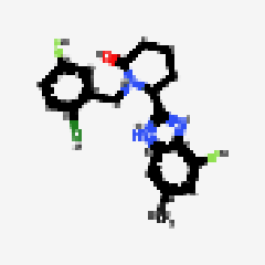 O=C1CCCC(c2nc3c(F)cc(C(F)(F)F)cc3[nH]2)N1Cc1cc(F)ccc1Cl